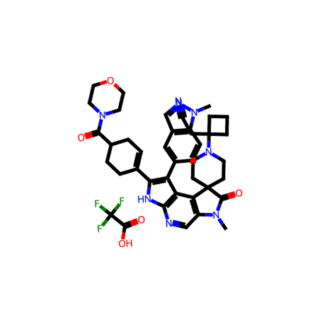 CN1C(=O)C2(CCN(C3(CC#N)CCC3)CC2)c2c1cnc1[nH]c(C3=CCC(C(=O)N4CCOCC4)CC3)c(-c3ccc4c(cnn4C)c3)c21.O=C(O)C(F)(F)F